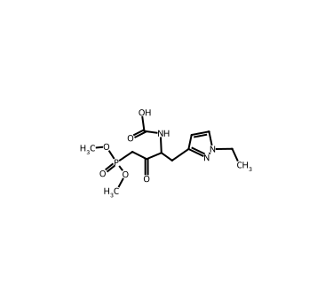 CCn1ccc(CC(NC(=O)O)C(=O)CP(=O)(OC)OC)n1